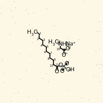 CCCCCCCCCCCC(=O)OS(=O)(=O)O.CNCC(=O)[O-].[Na+]